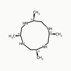 C[C@H]1CN[C@@H](C)CN[C@@H](C)CN[C@@H](C)CN1